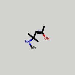 CCCNC(C)(C)/C=C(/C)O